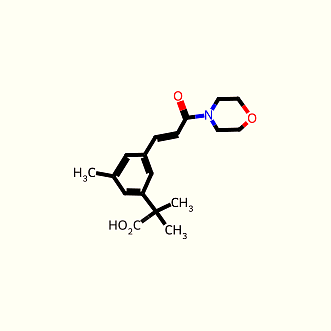 Cc1cc(/C=C/C(=O)N2CCOCC2)cc(C(C)(C)C(=O)O)c1